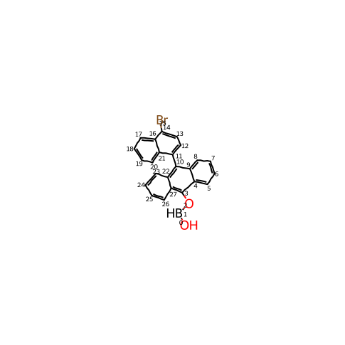 OBOc1c2ccccc2c(-c2ccc(Br)c3ccccc23)c2ccccc12